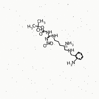 CC(C)(C)OC(=O)NC(=N[N+](=O)[O-])NCCC[C@H](N)CNCc1ccccc1N